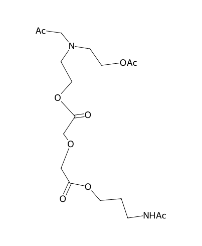 CC(=O)CN(CCOC(C)=O)CCOC(=O)COCC(=O)OCCCNC(C)=O